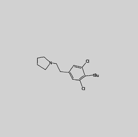 CC(C)(C)c1c(Cl)cc(CCN2CCCC2)cc1Cl